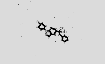 OC(Cc1ccccc1)(c1ccc2c(cnn2-c2ccc(F)cc2)c1)C(F)(F)F